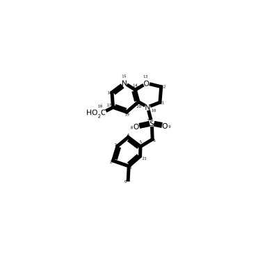 Cc1cccc(CS(=O)(=O)N2CCOc3ncc(C(=O)O)cc32)c1